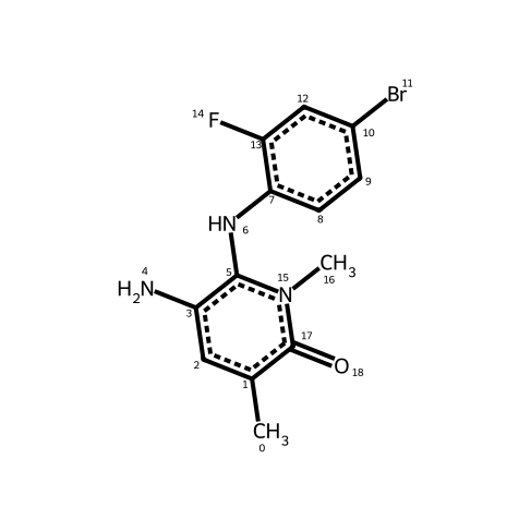 Cc1cc(N)c(Nc2ccc(Br)cc2F)n(C)c1=O